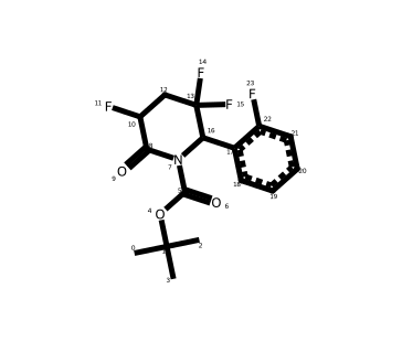 CC(C)(C)OC(=O)N1C(=O)C(F)CC(F)(F)C1c1ccccc1F